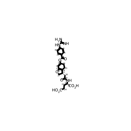 N=C(N)Nc1ccc(C(=O)OC2=CC3=C(CC2)[C@H](CC(=O)N[C@@H](CCC(=O)O)C(=O)O)CO3)cc1